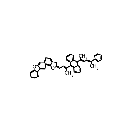 C/C(=C\C=C(/C)c1c2ccccc2c(/C(C)=C/C=C2\Cc3ccc4cc5oc6ccccc6c5cc4c3O2)c2ccccc12)c1ccccc1